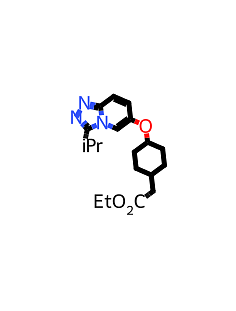 CCOC(=O)CC1CCC(Oc2ccc3nnc(C(C)C)n3c2)CC1